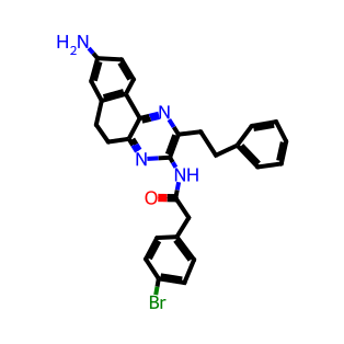 Nc1ccc2c(c1)CCc1nc(NC(=O)Cc3ccc(Br)cc3)c(CCc3ccccc3)nc1-2